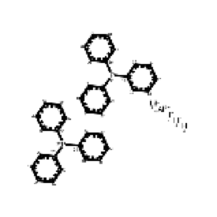 [Al+3].[H-].[H-].[H-].[LiH].c1ccc(P(c2ccccc2)c2ccccc2)cc1.c1ccc(P(c2ccccc2)c2ccccc2)cc1